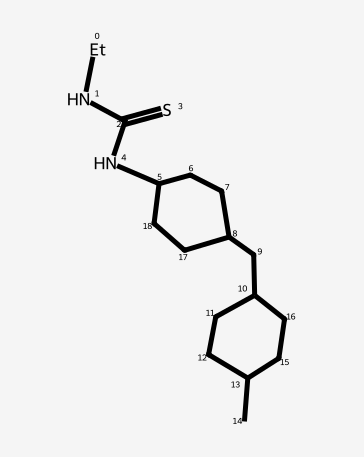 CCNC(=S)NC1CCC(CC2CCC(C)CC2)CC1